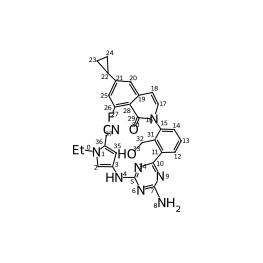 CCn1cc(Nc2nc(N)nc(-c3cccc(-n4ccc5cc(C6CC6)cc(F)c5c4=O)c3CO)n2)cc1C#N